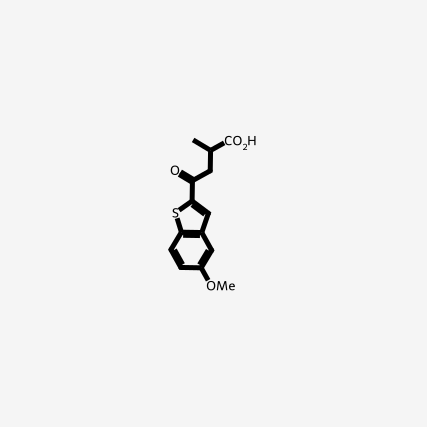 COc1ccc2sc(C(=O)CC(C)C(=O)O)cc2c1